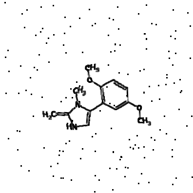 C=C1NC=C(c2cc(OC)ccc2OC)N1C